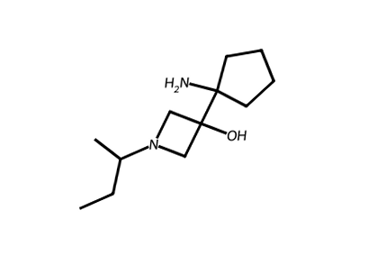 CCC(C)N1CC(O)(C2(N)CCCC2)C1